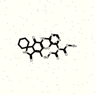 COc1c(NC2=CC(C)=C3C(=O)NC4(CCCCC4)C3C2=O)ncnc1N(C(=O)OC(C)(C)C)C(=O)OC(C)(C)C